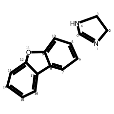 C1=NCCN1.c1ccc2c(c1)oc1ccccc12